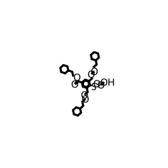 O=C(OCCC1CCCCC1)c1cc(COOCCC2CCCCC2)c(SOOO)c(COOCCC2CCCCC2)c1